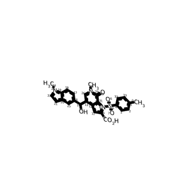 Cc1ccc(S(=O)(=O)n2c(C(=O)O)cc3c(C(O)c4ccc5c(ccn5C)c4)cn(C)c(=O)c32)cc1